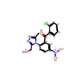 Cc1nnc(CO)n1-c1ccc([N+](=O)[O-])cc1C(=O)c1ccccc1Cl